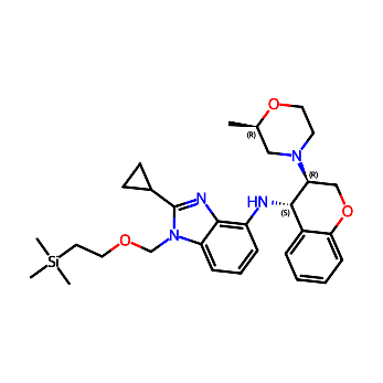 C[C@@H]1CN([C@H]2COc3ccccc3[C@@H]2Nc2cccc3c2nc(C2CC2)n3COCC[Si](C)(C)C)CCO1